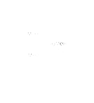 COc1cc(OC)c(-c2cc(C)ccc2C([13CH3])([13CH3])O)c(OC)c1